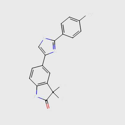 COc1ccc(-c2nc(-c3ccc4c(c3)C(C)(C)C(=O)N4)c[nH]2)cc1